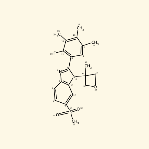 Cc1cc(-c2nc3ccc(S(C)(=O)=O)cc3n2C2(C)COC2)c(F)c(C)c1C